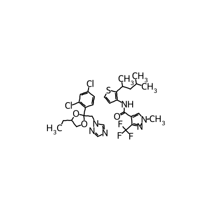 CC(C)CC(C)c1sccc1NC(=O)c1cn(C)nc1C(F)(F)F.CCC1COC(Cn2cncn2)(c2ccc(Cl)cc2Cl)O1